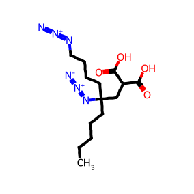 CCCCCC(CCCCN=[N+]=[N-])(CC(C(=O)O)C(=O)O)N=[N+]=[N-]